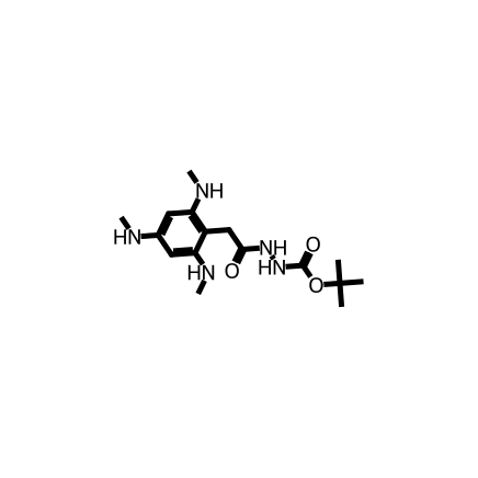 CNc1cc(NC)c(CC(=O)NNC(=O)OC(C)(C)C)c(NC)c1